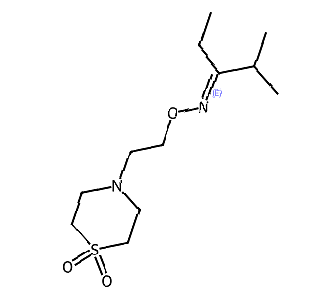 CC/C(=N\OCCN1CCS(=O)(=O)CC1)C(C)C